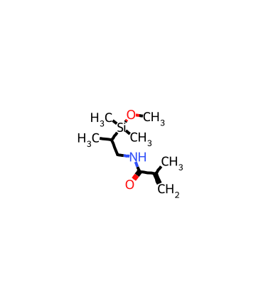 C=C(C)C(=O)NCC(C)[Si](C)(C)OC